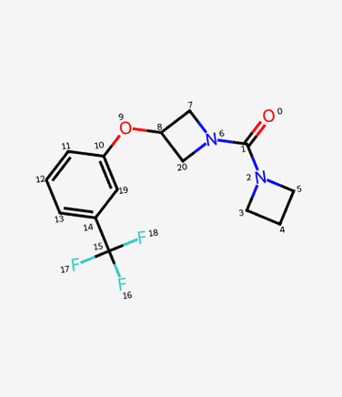 O=C(N1CCC1)N1CC(Oc2cccc(C(F)(F)F)c2)C1